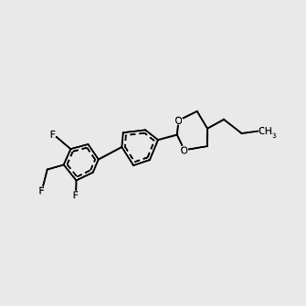 CCCC1COC(c2ccc(-c3cc(F)c(CF)c(F)c3)cc2)OC1